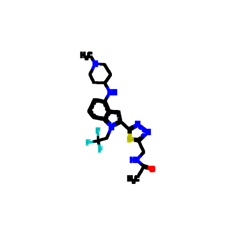 CC(=O)NCc1nnc(-c2cc3c(NC4CCN(C)CC4)cccc3n2CC(F)(F)F)s1